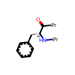 CC(C)N[C@H](Cc1ccccc1)C(=O)C(C)C